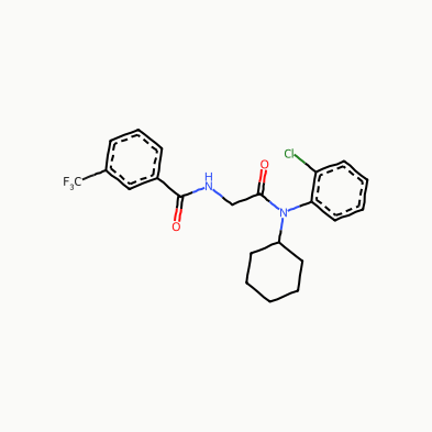 O=C(NCC(=O)N(c1ccccc1Cl)C1CCCCC1)c1cccc(C(F)(F)F)c1